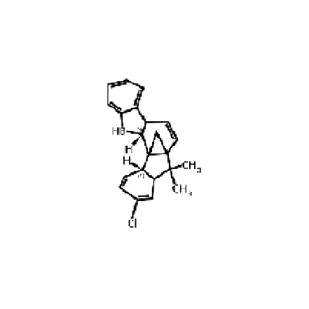 CC1(C)C2C=C(Cl)C=C[C@@H]2C23CC12C=CC1c2ccccc2B[C@H]13